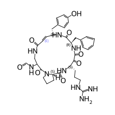 N=C(N)NCCC[C@@H]1NC(=O)[C@@H]2CCCN2C(=O)C(NC=O)CNC(=O)/C=C/[C@H](Cc2ccc(O)cc2)NC(=O)[C@@H](Cc2ccccc2)NC(=O)C1=O